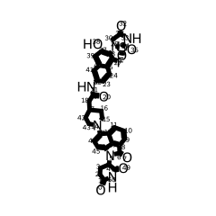 O=C1CCC(N2C(=O)c3cccc4c(N5CCC(CC(=O)Nc6ccc7c(F)c(N8CC(=O)NS8(=O)=O)c(O)cc7c6)CC5)ccc2c34)C(=O)N1